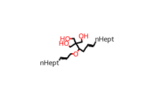 CCCCCCCC=CCOC(CC=CCCCCCCC)C(CO)(CO)CO